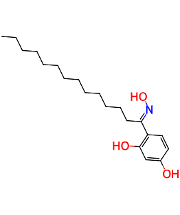 CCCCCCCCCCCCC/C(=N\O)c1ccc(O)cc1O